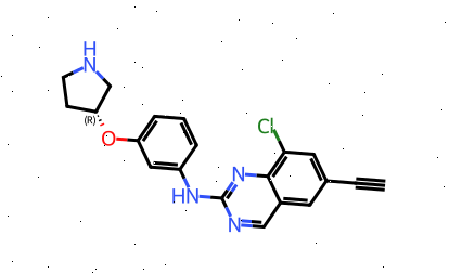 C#Cc1cc(Cl)c2nc(Nc3cccc(O[C@@H]4CCNC4)c3)ncc2c1